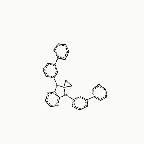 c1ccc(-c2cccc(N3c4nccnc4N(c4cccc(-c5ccccc5)c4)[Si]34CC4)c2)cc1